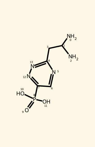 NC(N)Cc1ncc(P(=O)(O)O)nn1